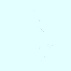 CC(C)(C)OC(=O)NC1CCN(C(=O)NC2C3CC4CC(C3)CC2C4)C1